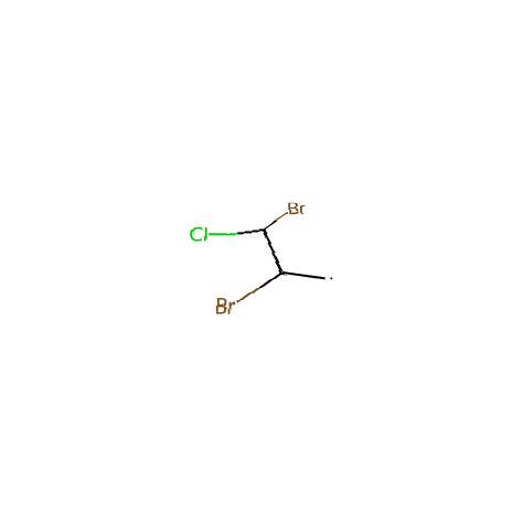 [CH2]C(Br)C(Cl)Br